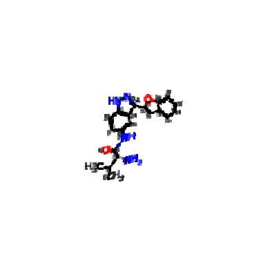 CC(C)[C@@H](N)C(=O)Nc1ccc2[nH]nc(-c3cc4ccccc4o3)c2c1